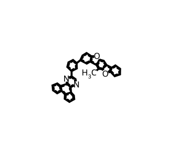 Cc1c2oc3ccccc3c2cc2oc3ccc(-c4cccc(-c5cnc6c7ccccc7c7ccccc7c6n5)c4)cc3c12